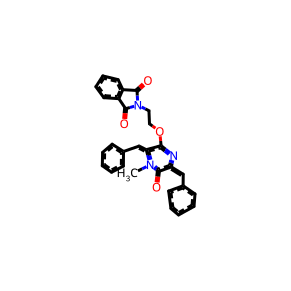 Cn1c(=Cc2ccccc2)c(OCCN2C(=O)c3ccccc3C2=O)nc(=Cc2ccccc2)c1=O